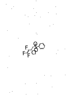 O=S(=O)(CC(Cl)C(F)=C(F)F)c1ccccc1